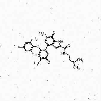 Cc1cc(F)cc(C)c1Oc1cn(C)c(=O)cc1-c1cn(C)c(=O)c2[nH]c(C(=O)NCCN(C)C)cc12